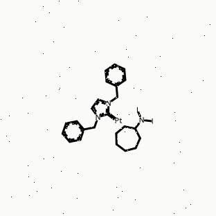 IN(I)C1CCCCCC1.[Pt]=[c]1n(Cc2ccccc2)ccn1Cc1ccccc1